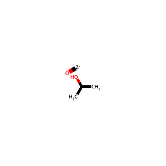 CC(C)O.[O]=[Zr]